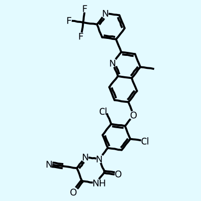 Cc1cc(-c2ccnc(C(F)(F)F)c2)nc2ccc(Oc3c(Cl)cc(-n4nc(C#N)c(=O)[nH]c4=O)cc3Cl)cc12